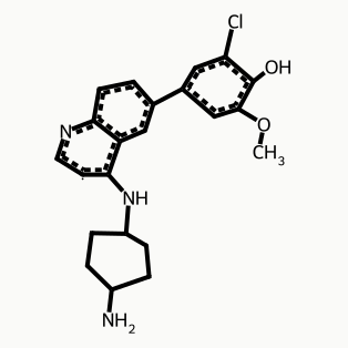 COc1cc(-c2ccc3nc[c]c(NC4CCC(N)CC4)c3c2)cc(Cl)c1O